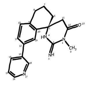 CN1C(=N)N[C@@]2(CCCc3ccc(-c4cccnc4)cc32)CC1=O